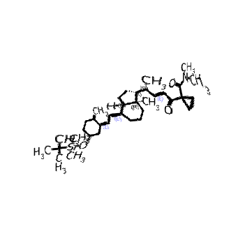 C=C1CC[C@H](O[Si](C)(C)C(C)(C)C)C/C1=C/C=C1\CCC[C@]2(C)[C@@H]([C@H](C)/C=C/C(=O)C3(C(=O)N(C)C)CC3)CC[C@@H]12